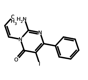 C/C=C\n1c(N)nc(-c2ccccc2)c(I)c1=O